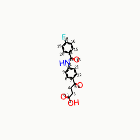 O=C(O)CCC(=O)c1ccc(NC(=O)c2ccc(F)cc2)cc1